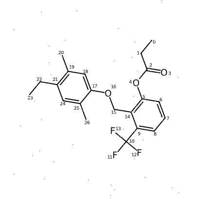 CCC(=O)Oc1cccc(C(F)(F)F)c1COc1cc(C)c(CC)cc1C